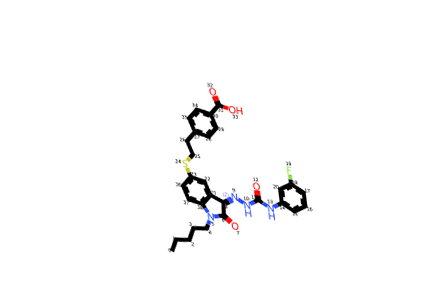 CCCCCN1C(=O)/C(=N\NC(=O)Nc2cccc(F)c2)c2cc(SCCc3ccc(C(=O)O)cc3)ccc21